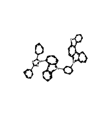 c1ccc(-c2nc(-c3ccccc3)n(-c3cccc4c3c3ccccc3n4-c3cccc(-n4c5ccccc5c5c6c(ccc54)oc4ccccc46)c3)n2)cc1